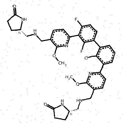 COc1nc(-c2cccc(-c3ccc(F)c(-c4ccc(CNC[C@@H]5CCC(=O)N5)c(OC)n4)c3F)c2Cl)ccc1CNC[C@@H]1CCC(=O)N1